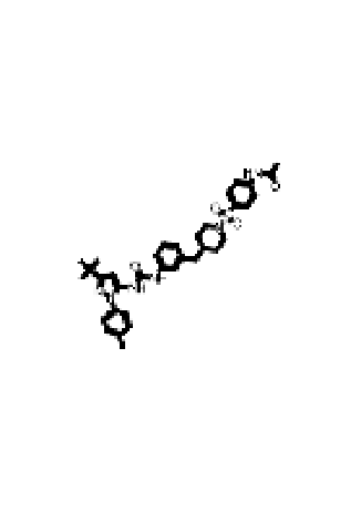 CC(=O)Nc1ccc(S(=O)(=O)N2CCC(Cc3cccc(NC(=O)Nc4cc(C(C)(C)C)nn4-c4ccc(C)cc4)c3)CC2)cc1